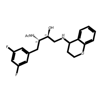 CC(=O)N[C@@H](Cc1cc(F)cc(F)c1)[C@@H](O)CNC1CCOc2ccccc21